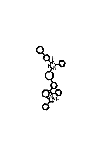 C1=CC=CC(C2=CCC(C3N=C(C4=C/CCCC(C5C=C(/C6=C(\c7ccccc7)N7NCC(C8=CCCC=C8)=C7C7CC=CC6CC7)C=CC5)/C=C\4)N=C(c4ccccc4)N3)C=C2)C=C1